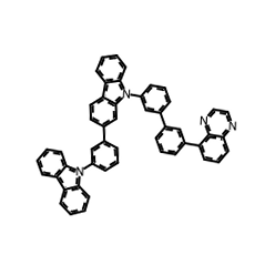 c1cc(-c2cccc(-n3c4ccccc4c4ccc(-c5cccc(-n6c7ccccc7c7ccccc76)c5)cc43)c2)cc(-c2cccc3nccnc23)c1